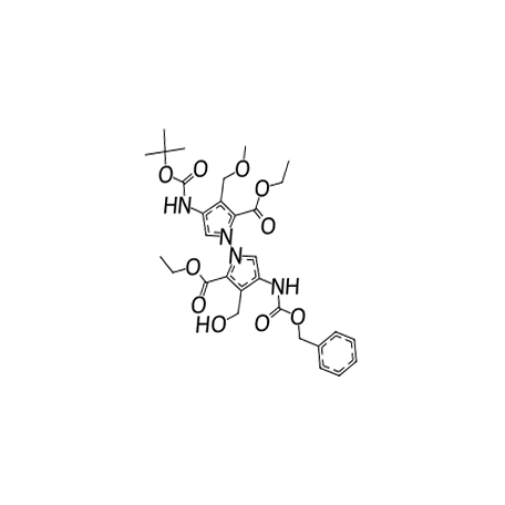 CCOC(=O)c1c(CO)c(NC(=O)OCc2ccccc2)cn1-n1cc(NC(=O)OC(C)(C)C)c(COC)c1C(=O)OCC